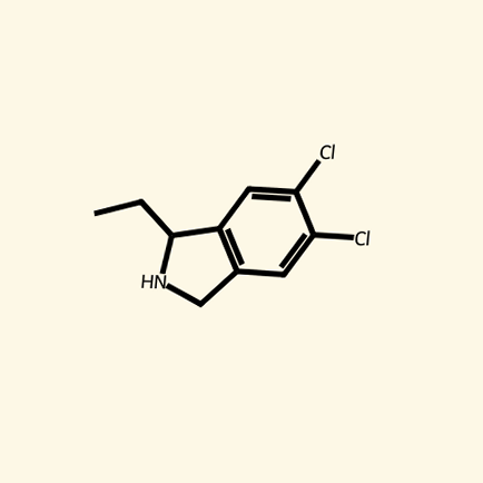 CCC1NCc2cc(Cl)c(Cl)cc21